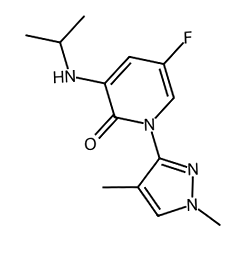 Cc1cn(C)nc1-n1cc(F)cc(NC(C)C)c1=O